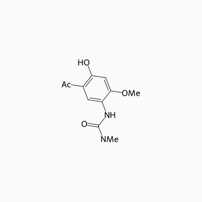 CNC(=O)Nc1cc(C(C)=O)c(O)cc1OC